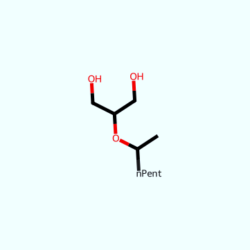 CCCCCC(C)OC(CO)CO